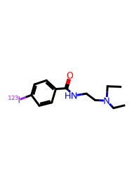 CCN(CC)CCNC(=O)c1ccc([123I])cc1